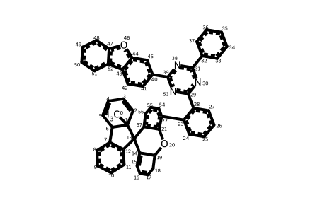 CC12C=CC=CC1c1ccccc1C21C2=CC=CCC2Oc2c(-c3ccccc3-c3nc(-c4ccccc4)nc(-c4ccc5c(c4)oc4ccccc45)n3)cccc21